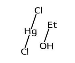 CCO.[Cl][Hg][Cl]